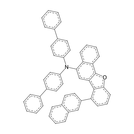 c1ccc(-c2ccc(N(c3ccc(-c4ccccc4)cc3)c3cc4c(oc5cccc(-c6ccc7ccccc7c6)c54)c4ccccc34)cc2)cc1